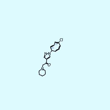 O=C(CN1CCCCC1)c1cnn(C2C=C=C/C(Cl)=C\C=C\2)c1